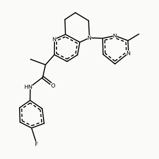 Cc1nccc(N2CCCc3nc(C(C)C(=O)Nc4ccc(F)cc4)ccc32)n1